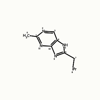 Cc1ncc2[nH]c(CC(C)C)nc2n1